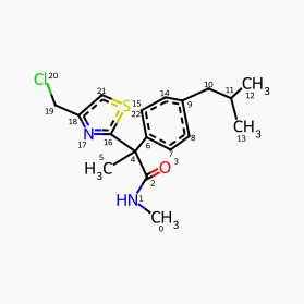 CNC(=O)C(C)(c1ccc(CC(C)C)cc1)c1nc(CCl)cs1